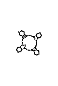 c1cc2c(cn1)-c1cc3[nH]c(cc4nc(cc5[nH]c(cc-2n1)c1cnccc51)-c1cnccc1-4)c1cnccc31